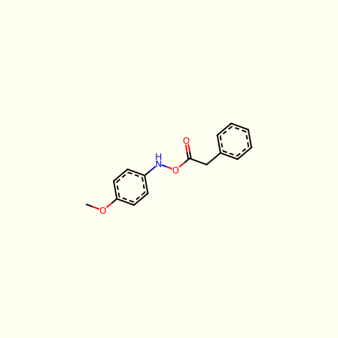 COc1ccc(NOC(=O)Cc2ccccc2)cc1